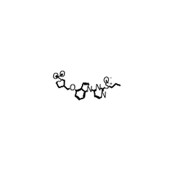 CCC[S+]([O-])c1nccc(-n2ccc3c(OCC4CCS(=O)(=O)C4)cccc32)n1